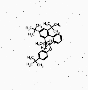 CC(C)(C)c1ccc(OP(O)c2ccccc2-c2c(C(C)(C)C)cc(C(C)(C)C)cc2C(C)(C)C)cc1